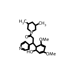 COC1=CC(O)C(C(CC(=O)N2CC(C)CC(C)C2)c2ccncc2)C(OC)=C1